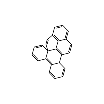 C1=CC2=C3C=CC=CC34C=Cc3cccc5ccc(c4c35)C2C=C1